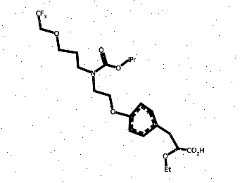 CCOC(Cc1ccc(OCCN(CCCOCC(F)(F)F)C(=O)OC(C)C)cc1)C(=O)O